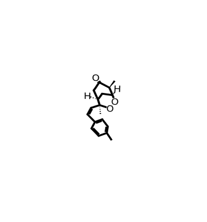 Cc1ccc(/C=C\[C@]2(C)OO[C@H]3C[C@@H]2CC(=O)[C@H]3C)cc1